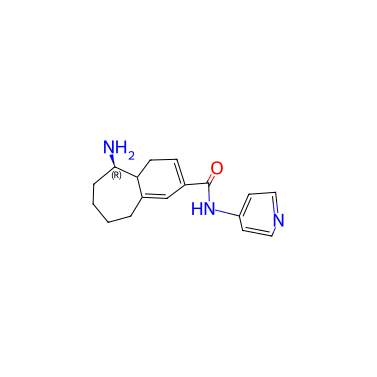 N[C@@H]1CCCCC2=CC(C(=O)Nc3ccncc3)=CCC21